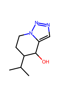 CC(C)C1CCn2nncc2C1O